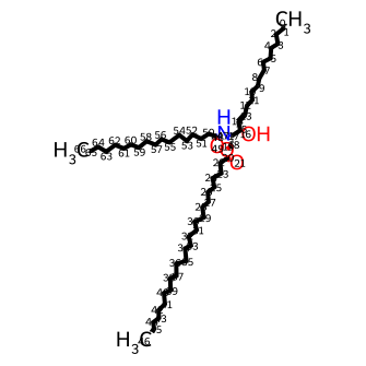 CCCCCCCCCCCCC/C=C/[C@@H](O)[C@H](COC(=O)CCCCCCCCCCCCCCCCCCCCCCCCC)NC(=O)CCCCCCCCCCCCCCCCC